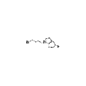 Fc1ccc2c(ccn2CCCCBr)c1